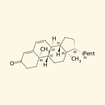 CCC[C@@H](C)[C@H]1CC[C@H]2[C@@H]3C=CC4=CC(=O)CC[C@]4(C)[C@H]3CC[C@]12C